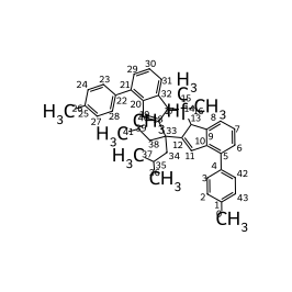 Cc1ccc(-c2cccc3c2C=C2[CH]3[Hf]([CH3])([CH3])[CH]3C(=Cc4c(-c5ccc(C)cc5)cccc43)C2(CC(C)C)CC(C)C)cc1